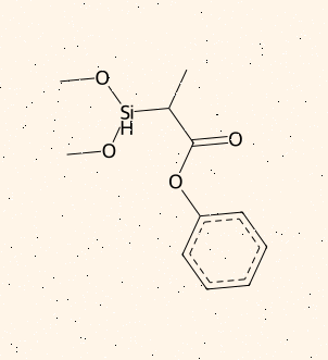 CO[SiH](OC)C(C)C(=O)Oc1ccccc1